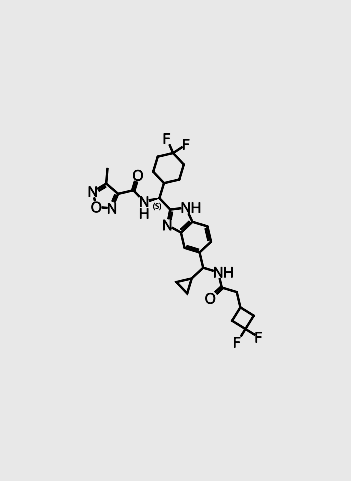 Cc1nonc1C(=O)N[C@H](c1nc2cc(C(NC(=O)CC3CC(F)(F)C3)C3CC3)ccc2[nH]1)C1CCC(F)(F)CC1